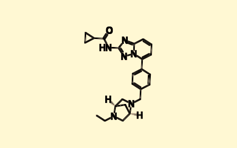 CCN1C[C@H]2C[C@@H]1CN2Cc1ccc(-c2cccc3nc(NC(=O)C4CC4)nn23)cc1